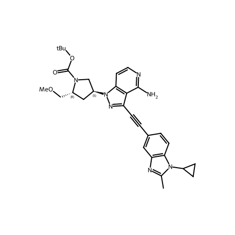 COC[C@H]1C[C@H](n2nc(C#Cc3ccc4c(c3)nc(C)n4C3CC3)c3c(N)nccc32)CN1C(=O)OC(C)(C)C